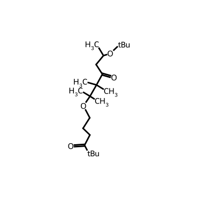 CC(CC(=O)C(C)(C)C(C)(C)OCCCC(=O)C(C)(C)C)OC(C)(C)C